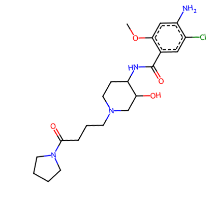 COc1cc(N)c(Cl)cc1C(=O)NC1CCN(CCCC(=O)N2CCCC2)CC1O